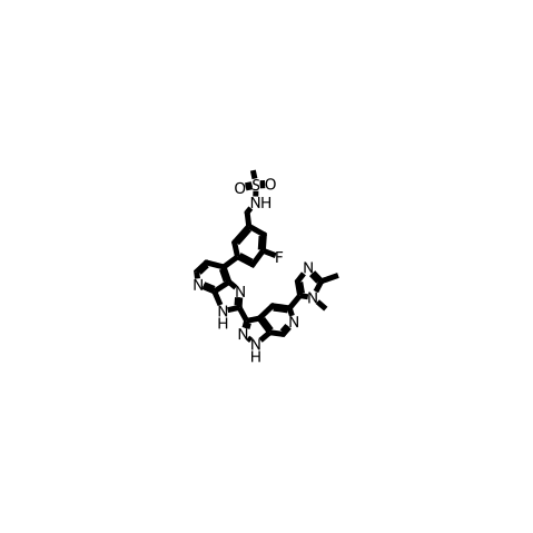 Cc1ncc(-c2cc3c(-c4nc5c(-c6cc(F)cc(CNS(C)(=O)=O)c6)ccnc5[nH]4)n[nH]c3cn2)n1C